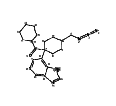 [N-]=[N+]=NCC1CCC(C(=O)N2CCCCC2)(c2cncc3nc[nH]c23)CC1